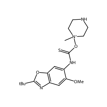 COc1cc2nc(C(C)(C)C)oc2cc1NC(=S)O[N+]1(C)CCNCC1